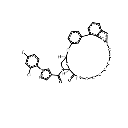 O=C1NCCCCCCCn2cc3c(cccc3n2)-c2cccc(c2)O[C@H]2C[C@@H]1N(C(=O)c1cnn(-c3ccc(F)cc3Cl)c1)C2